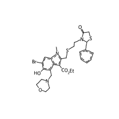 CCOC(=O)c1c(CSCCN2C(=O)CSC2c2ccccc2)n(C)c2cc(Br)c(O)c(CN3CCOCC3)c12